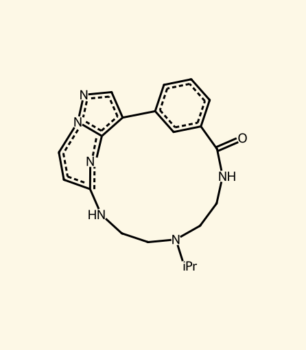 CC(C)N1CCNC(=O)c2cccc(c2)-c2cnn3ccc(nc23)NCC1